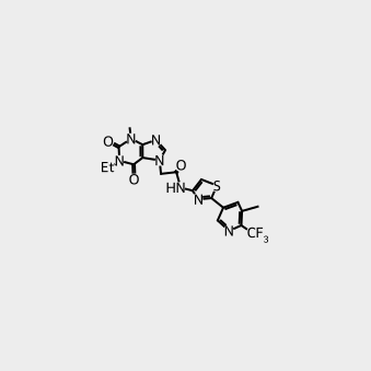 CCn1c(=O)c2c(ncn2CC(=O)Nc2csc(-c3cnc(C(F)(F)F)c(C)c3)n2)n(C)c1=O